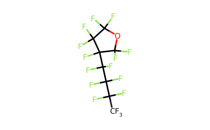 FC(F)(F)C(F)(F)C(F)(F)C(F)(F)C1(F)C(F)(F)OC(F)(F)C1(F)F